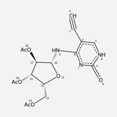 C#Cc1c[nH]c(=O)nc1N[C@@H]1O[C@H](COC(C)=O)[C@H](OC(C)=O)[C@H]1OC(C)=O